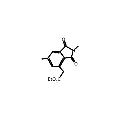 CCOC(=O)Cc1cc(C)cc2c1C(=O)N(C)C2=O